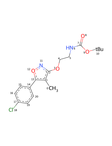 Cc1c(OCCNC(=O)OC(C)(C)C)noc1-c1ccc(Cl)cc1